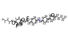 CCCCCOc1ccc(OCC(F)CC2CCC(/C=C/C3CCC(C4CCC(CCCCC)OC4)CC3)CC2)c(F)c1F